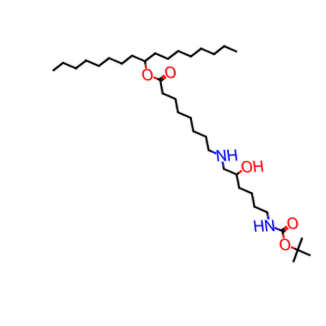 CCCCCCCCC(CCCCCCCC)OC(=O)CCCCCCCNCC(O)CCCCNC(=O)OC(C)(C)C